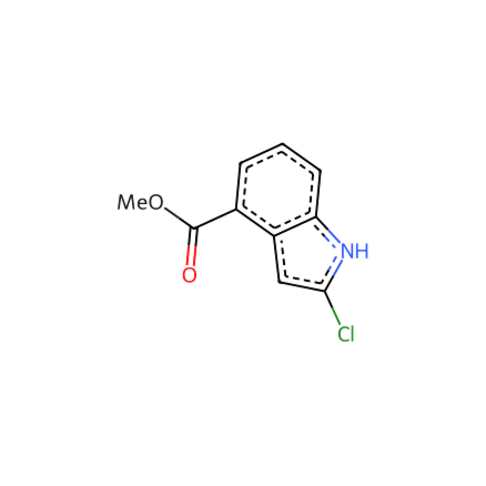 COC(=O)c1cccc2[nH]c(Cl)cc12